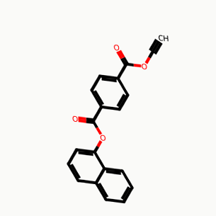 C#COC(=O)c1ccc(C(=O)Oc2cccc3ccccc23)cc1